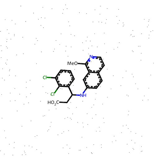 COc1nccc2ccc(NC(CC(=O)O)c3cccc(Cl)c3Cl)cc12